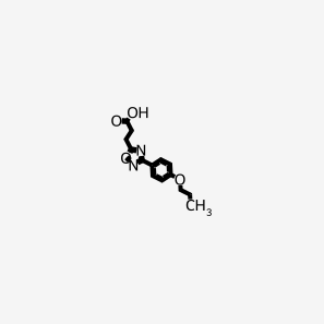 CCCOc1ccc(-c2noc(CCC(=O)O)n2)cc1